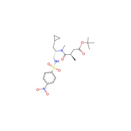 C[C@H](CC(=O)OC(C)(C)C)C(=O)N(C)[C@H](CNS(=O)(=O)c1ccc([N+](=O)[O-])cc1)CC1CC1